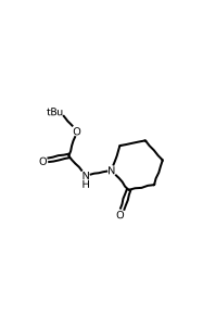 CC(C)(C)OC(=O)NN1CCCCC1=O